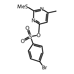 CSc1nc(C)cc(OS(=O)(=O)c2ccc(Br)cc2)n1